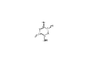 Fc1cc(Br)c(F)cc1S